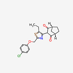 CCc1sc(COc2ccc(Cl)cc2)nc1C1C(=O)[C@@H]2CC[C@@H](C2)C1=O